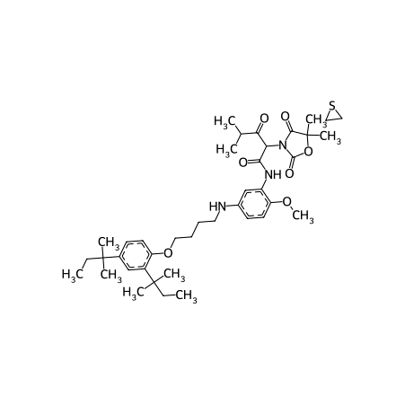 C1CS1.CCC(C)(C)c1ccc(OCCCCNc2ccc(OC)c(NC(=O)C(C(=O)C(C)C)N3C(=O)OC(C)(C)C3=O)c2)c(C(C)(C)CC)c1